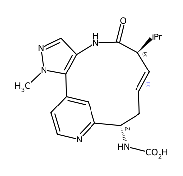 CC(C)[C@H]1/C=C/C[C@H](NC(=O)O)c2cc(ccn2)-c2c(cnn2C)NC1=O